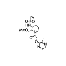 COCC1C(NS(=O)(=O)C(C)C)CCCN1C(=O)COc1nccnc1C